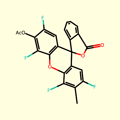 CC(=O)Oc1c(F)cc2c(c1F)Oc1c(cc(F)c(C)c1F)C21OC(=O)c2ccccc21